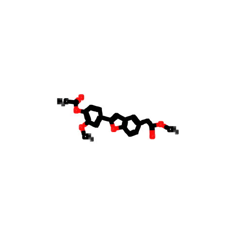 COC(=O)Cc1ccc2oc(-c3ccc(OC(C)=O)c(OC)c3)cc2c1